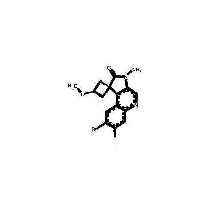 CO[C@H]1C[C@@]2(C1)C(=O)N(C)c1cnc3cc(F)c(Br)cc3c12